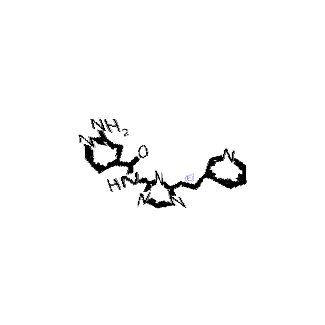 Nc1cc(C(=O)Nc2ncnc(/C=C/c3cccnc3)n2)ccn1